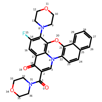 O=C(c1cn2c3c(c(N4CCOCC4)c(F)cc3c1=O)Oc1c-2ccc2ccccc12)N1CCOCC1